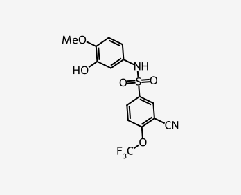 COc1ccc(NS(=O)(=O)c2ccc(OC(F)(F)F)c(C#N)c2)cc1O